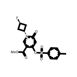 COC(=O)c1cn([C@H]2C[C@H](F)C2)c(=O)cc1OS(=O)(=O)c1ccc(C)cc1